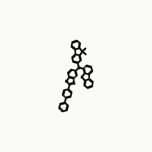 CC1(C)c2ccccc2-c2ccc(N(c3ccc4oc(-c5ccc(-c6ccccc6)cc5)nc4c3)c3cccc4c3sc3ccccc34)cc21